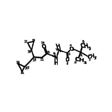 CC(C)(C)OC(=O)NNC(=O)CC(C1CC1)C1CC1